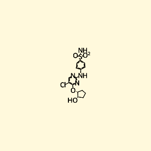 NS(=O)(=O)c1ccc(Nc2ncc(Cl)c(O[C@@H]3CCC[C@@H]3O)n2)cc1